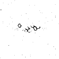 COC(=O)c1ccc(C(C)NC(=O)c2c(C(F)F)nn(C)c2Sc2cccc(C(F)(F)F)c2)cc1